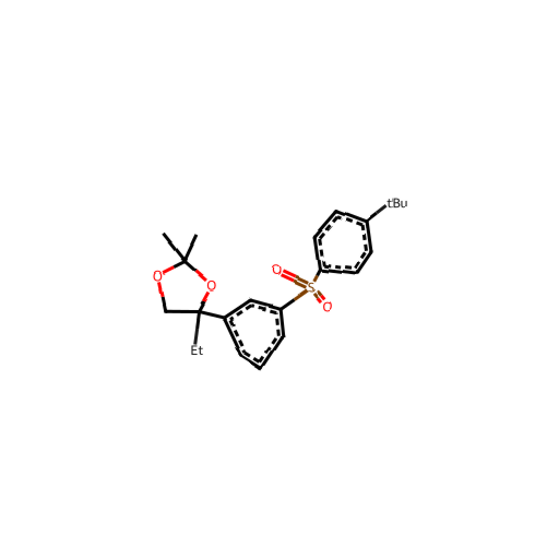 CCC1(c2cccc(S(=O)(=O)c3ccc(C(C)(C)C)cc3)c2)COC(C)(C)O1